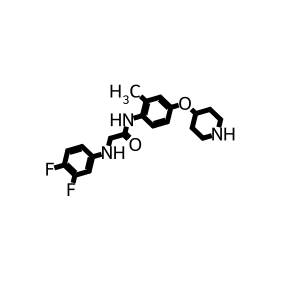 Cc1cc(OC2CCNCC2)ccc1NC(=O)CNc1ccc(F)c(F)c1